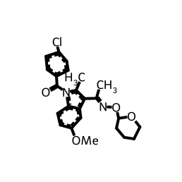 COc1ccc2c(c1)c(C(C)=NOC1CCCCO1)c(C)n2C(=O)c1ccc(Cl)cc1